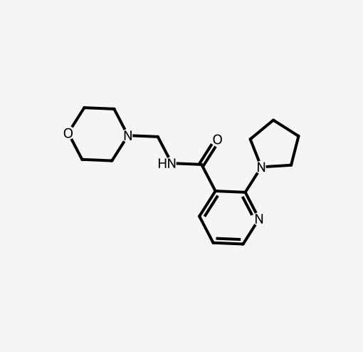 O=C(NCN1CCOCC1)c1cccnc1N1CCCC1